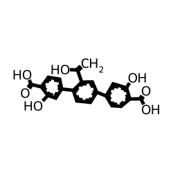 C=C(O)c1cc(-c2ccc(C(=O)O)c(O)c2)ccc1-c1ccc(C(=O)O)c(O)c1